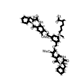 CCC(=O)C(C)CCCCN(C)c1cc(COc2cc3c(cc2OC)C(=O)N2c4ccccc4C[C@H]2C(=O)N3)cc(COc2cc3c(cc2OC)C(=O)N2c4ccccc4C[C@H]2C(=O)N3)c1